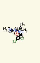 CC(C)C[C@H](NC(=O)C1(c2ccc(Cl)cc2Cl)CC1)C(=O)N(C)CCN(C)C